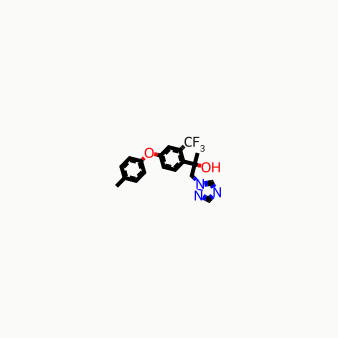 Cc1ccc(Oc2ccc(C(C)(O)Cn3cncn3)c(C(F)(F)F)c2)cc1